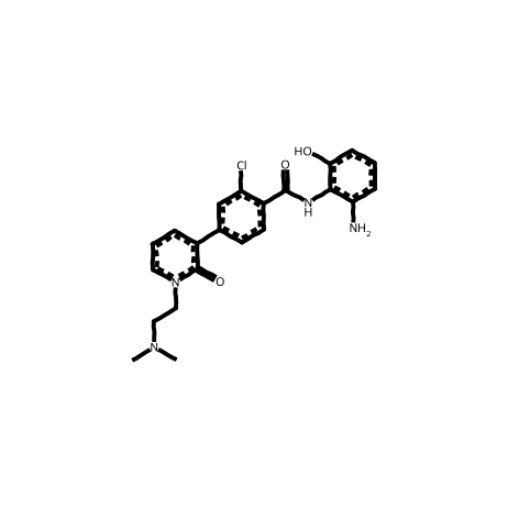 CN(C)CCn1cccc(-c2ccc(C(=O)Nc3c(N)cccc3O)c(Cl)c2)c1=O